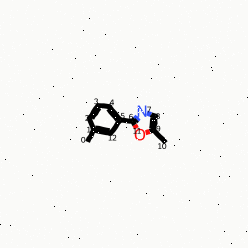 Cc1cccc(-c2n[c]c(C)o2)c1